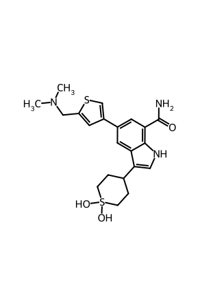 CN(C)Cc1cc(-c2cc(C(N)=O)c3[nH]cc(C4CCS(O)(O)CC4)c3c2)cs1